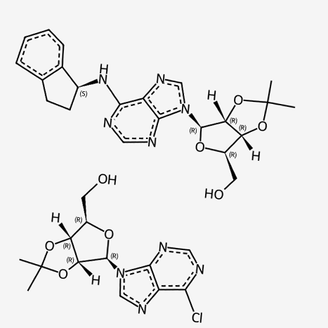 CC1(C)O[C@@H]2[C@H](O1)[C@@H](CO)O[C@H]2n1cnc2c(Cl)ncnc21.CC1(C)O[C@@H]2[C@H](O1)[C@@H](CO)O[C@H]2n1cnc2c(N[C@H]3CCc4ccccc43)ncnc21